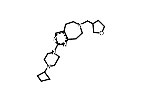 c1nc(N2CCN(C3CCC3)CC2)nc2c1CCN(CC1CCOC1)CC2